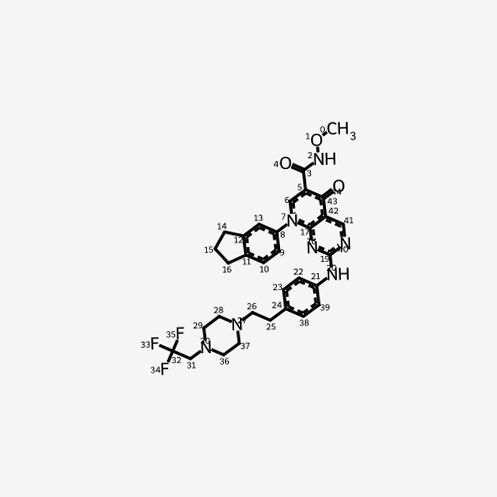 CONC(=O)c1cn(-c2ccc3c(c2)CCC3)c2nc(Nc3ccc(CCN4CCN(CC(F)(F)F)CC4)cc3)ncc2c1=O